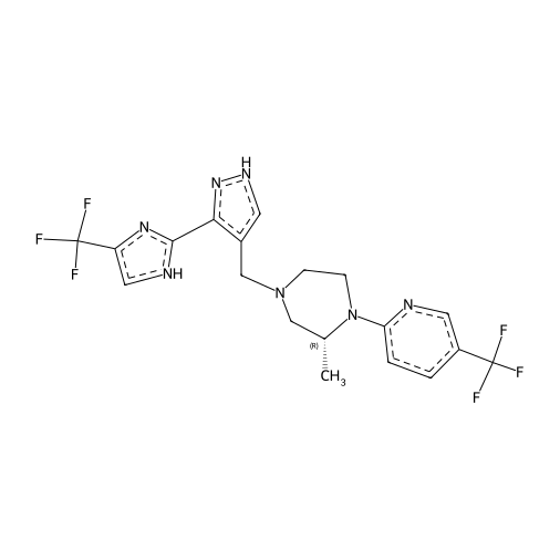 C[C@@H]1CN(Cc2c[nH]nc2-c2nc(C(F)(F)F)c[nH]2)CCN1c1ccc(C(F)(F)F)cn1